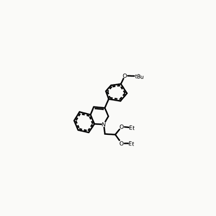 CCOC(CN1CC(c2ccc(OC(C)(C)C)cc2)=Cc2ccccc21)OCC